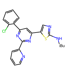 CCC(C)Nc1ncc(-c2cc(-c3ccccc3Cl)nc(-c3ccccn3)n2)s1